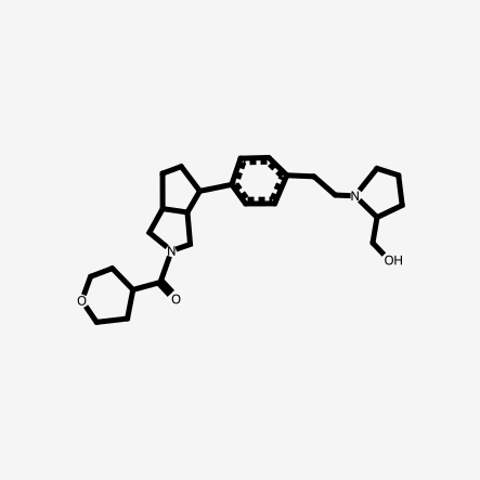 O=C(C1CCOCC1)N1CC2CCC(c3ccc(CCN4CCCC4CO)cc3)C2C1